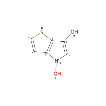 Oc1cn(O)c2ccsc12